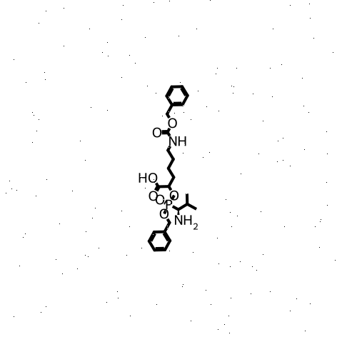 CC(C)[C@@H](N)P(=O)(OCc1ccccc1)OC(CCCCNC(=O)OCc1ccccc1)C(=O)O